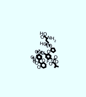 CC(C)=C1OC(=O)N(c2cc(OC3CCCC3)c(Cl)cc2F)C1=O.CP(=O)(O)CCC(N)C(=O)O.CS(=O)(=O)c1ccc(C(=O)C2C(=O)CCCC2=O)c([N+](=O)[O-])c1